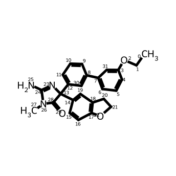 CCOc1cccc(-c2cccc(C3(c4ccc5c(c4)CCO5)N=C(N)N(C)C3=O)c2)c1